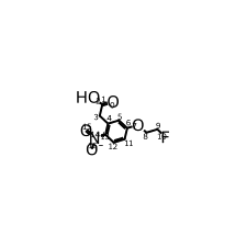 O=C(O)Cc1cc(OCCF)ccc1[N+](=O)[O-]